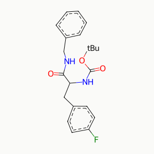 CC(C)(C)OC(=O)NC(Cc1ccc(F)cc1)C(=O)NCc1ccccc1